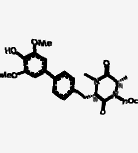 CCCCCCCCN1C(=O)[C@H](Cc2ccc(-c3cc(OC)c(O)c(OC)c3)cc2)N(C)C(=O)[C@@H]1C